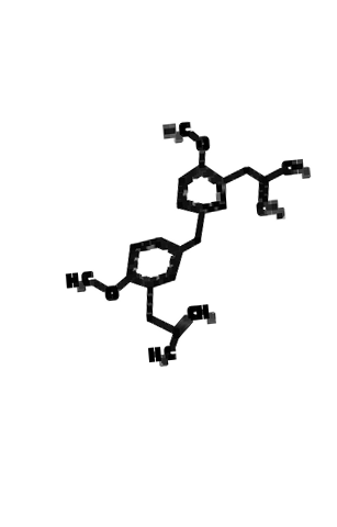 C=C(C)Cc1cc(Cc2ccc(OC)c(CC(=C)C)c2)ccc1OC